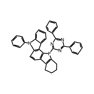 c1ccc(-c2nc(-c3ccccc3)nc(-p3c4c(c5ccc6c(c7ccccc7n6-c6ccccc6)c53)CCCC4)n2)cc1